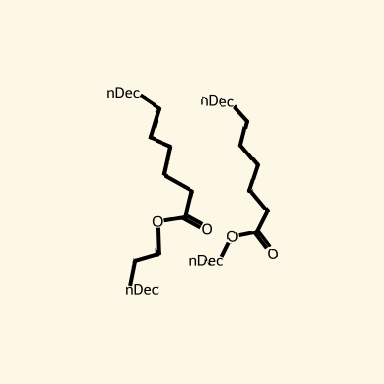 CCCCCCCCCCCCCCCC(=O)OCCCCCCCCCC.CCCCCCCCCCCCCCCC(=O)OCCCCCCCCCCCC